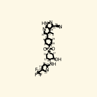 Cc1c(-c2ccc(S(=O)(=O)N3CC[C@@H](Nc4ccc(C(F)(F)F)cn4)[C@@H](O)C3)cc2)cnc2[nH]nc(C#N)c12